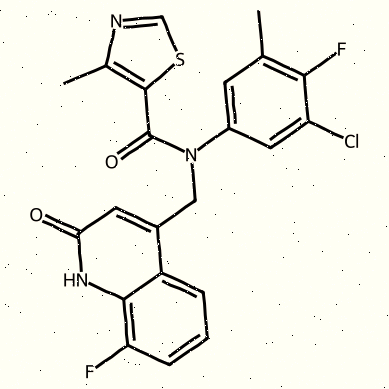 Cc1cc(N(Cc2cc(=O)[nH]c3c(F)cccc23)C(=O)c2scnc2C)cc(Cl)c1F